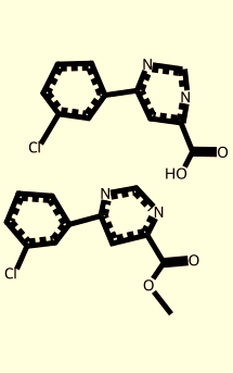 COC(=O)c1cc(-c2cccc(Cl)c2)ncn1.O=C(O)c1cc(-c2cccc(Cl)c2)ncn1